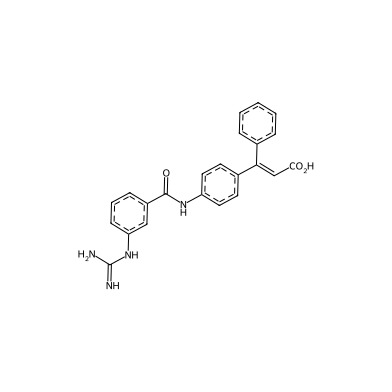 N=C(N)Nc1cccc(C(=O)Nc2ccc(C(=CC(=O)O)c3ccccc3)cc2)c1